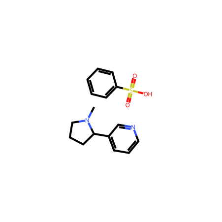 CN1CCCC1c1cccnc1.O=S(=O)(O)c1ccccc1